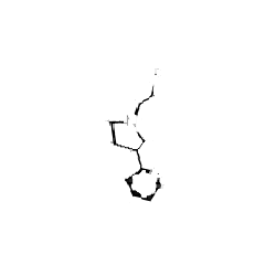 CC(C)CCN1CCC(c2ccccn2)C1